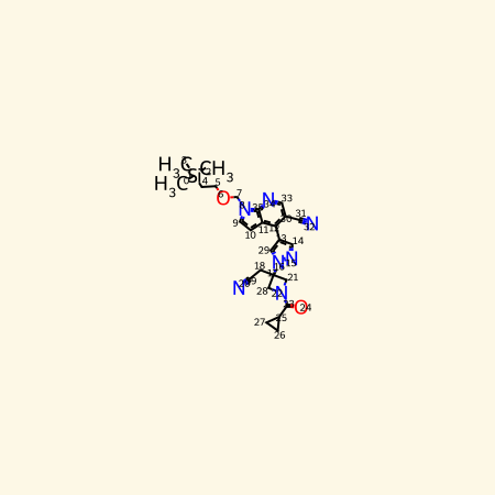 C[Si](C)(C)CCOCn1ccc2c(-c3cnn(C4(CC#N)CN(C(=O)C5CC5)C4)c3)c(C#N)cnc21